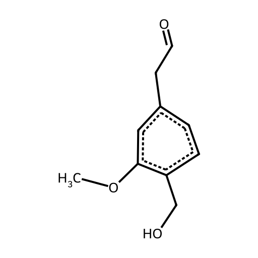 COc1cc(CC=O)ccc1CO